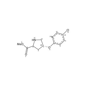 COC(=O)C1C[C@@H](Oc2ccc(Cl)cn2)CN1